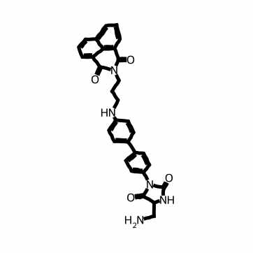 NCC1NC(=O)N(c2ccc(-c3ccc(NCCCN4C(=O)c5cccc6cccc(c56)C4=O)cc3)cc2)C1=O